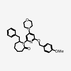 COc1ccc(COc2cc(N3CCOCC3)cc(N3C(=O)CCCCC3Cc3ccccc3)n2)cc1